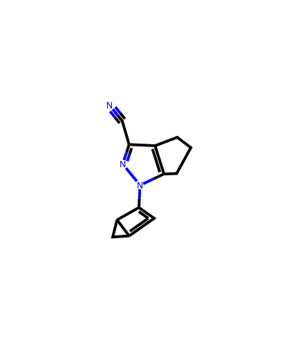 N#Cc1nn(C2=C=C3CC32)c2c1CCC2